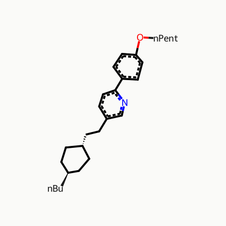 CCCCCOc1ccc(-c2ccc(CC[C@H]3CC[C@H](CCCC)CC3)cn2)cc1